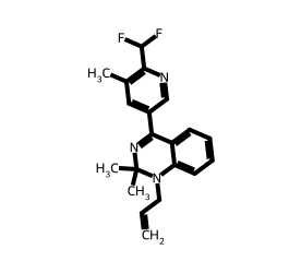 C=CCN1c2ccccc2C(c2cnc(C(F)F)c(C)c2)=NC1(C)C